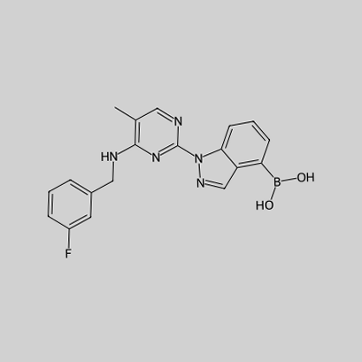 Cc1cnc(-n2ncc3c(B(O)O)cccc32)nc1NCc1cccc(F)c1